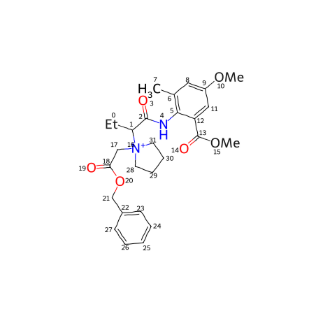 CCC(C(=O)Nc1c(C)cc(OC)cc1C(=O)OC)[N+]1(CC(=O)OCc2ccccc2)CCCC1